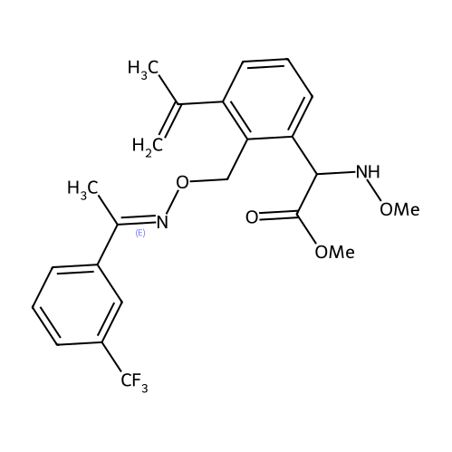 C=C(C)c1cccc(C(NOC)C(=O)OC)c1CO/N=C(\C)c1cccc(C(F)(F)F)c1